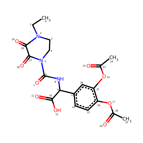 CCN1CCN(C(=O)NC(C(=O)O)c2ccc(OC(C)=O)c(OC(C)=O)c2)C(=O)C1=O